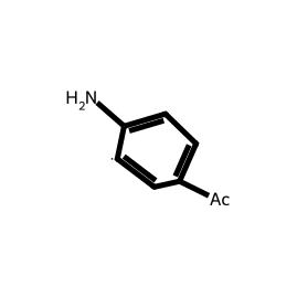 CC(=O)c1c[c]c(N)cc1